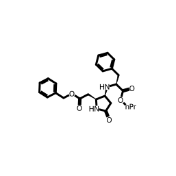 CCCOC(=O)[C@H](Cc1ccccc1)N[C@H]1CC(=O)N[C@H]1CC(=O)OCc1ccccc1